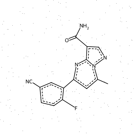 Cc1cc(-c2cc(C#N)ccc2F)nc2c(C(N)=O)cnn12